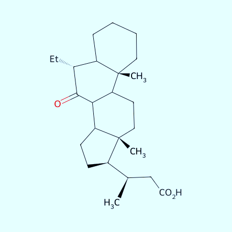 CC[C@H]1C(=O)C2C(CC[C@@]3(C)C2CC[C@@H]3[C@H](C)CC(=O)O)[C@@]2(C)CCCCC12